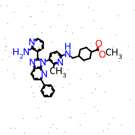 COC(=O)C1CCC(CNc2ccc(-n3c(-c4cccnc4N)nc4ccc(-c5ccccc5)nc43)c(C)n2)CC1